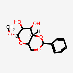 CO[C@H]1OC2COC(c3ccccc3)O[C@H]2C(O)C1O